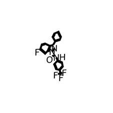 O=C(Nc1ccc(C(F)(F)F)cc1)n1nc(-c2ccccc2)c2ccc(F)cc21